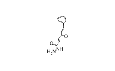 NNC(=O)/C=C/C(=O)C=Cc1ccccc1